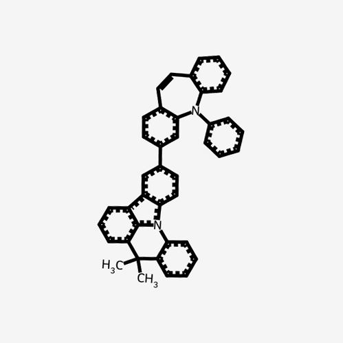 CC1(C)c2ccccc2-n2c3ccc(-c4ccc5c(c4)N(c4ccccc4)c4ccccc4C=C5)cc3c3cccc1c32